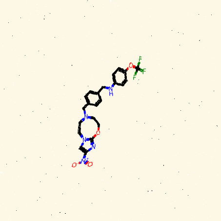 O=[N+]([O-])c1cn2c(n1)OCCN(Cc1ccc(CNc3ccc(OC(F)(F)F)cc3)cc1)CC2